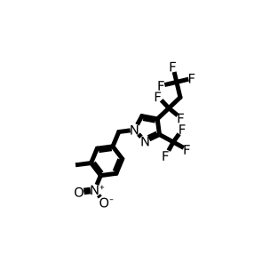 Cc1cc(Cn2cc(C(F)(F)CC(F)(F)F)c(C(F)(F)F)n2)ccc1[N+](=O)[O-]